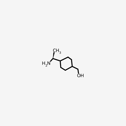 C[C@H](N)C1CCC(CO)CC1